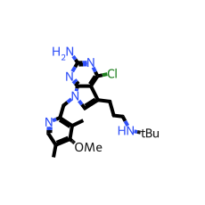 COc1c(C)cnc(Cn2cc(CCCNC(C)(C)C)c3c(Cl)nc(N)nc32)c1C